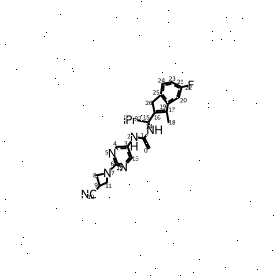 C=C(Nc1cnc(N2CC(C#N)C2)nc1)NC(C1=C(C)c2cc(F)ccc2C1)C(C)C